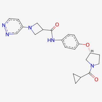 O=C(Nc1ccc(O[C@@H]2CCN(C(=O)C3CC3)C2)cc1)C1CN(c2ccnnc2)C1